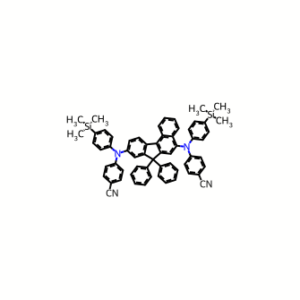 C[Si](C)(C)c1ccc(N(c2ccc(C#N)cc2)c2ccc3c(c2)C(c2ccccc2)(c2ccccc2)c2cc(N(c4ccc(C#N)cc4)c4ccc([Si](C)(C)C)cc4)c4ccccc4c2-3)cc1